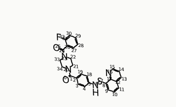 O=C(c1ccc(NSc2cccc3cccnc23)cc1)N1CCN(C(=O)c2ccccc2F)CC1